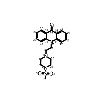 CS(=O)(=O)N1CCN(CCn2c3ccccc3c(=O)c3ccccc32)CC1